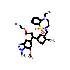 CCOC(=O)CC(c1ccc(C)c(CN2CCN(CC)c3ccccc3S2(O)O)c1)c1cc(OC)c2c(c1)nnn2C